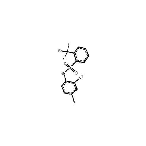 O=S(=O)(Nc1ccc(F)cc1Cl)c1ccccc1C(F)(F)F